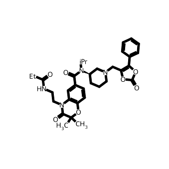 CCC(=O)NCCN1C(=O)C(C)(C)Oc2ccc(C(=O)N(C(C)C)[C@@H]3CCCN(Cc4oc(=O)oc4-c4ccccc4)C3)cc21